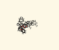 CC(C)N1C(=O)N(C2CCOCC2)C(=O)C12CC1CCC(C2)N1C[C@H]1CN(C(=O)OC(C)(C)C)C[C@@H]1c1ccccc1